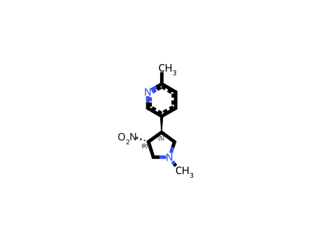 Cc1ccc([C@H]2CN(C)C[C@@H]2[N+](=O)[O-])cn1